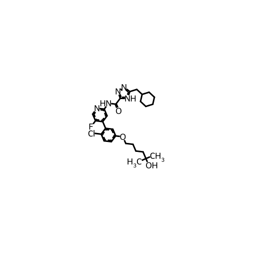 CC(C)(O)CCCCOc1ccc(Cl)c(-c2cc(NC(=O)c3nnc(CC4CCCCC4)[nH]3)ncc2F)c1